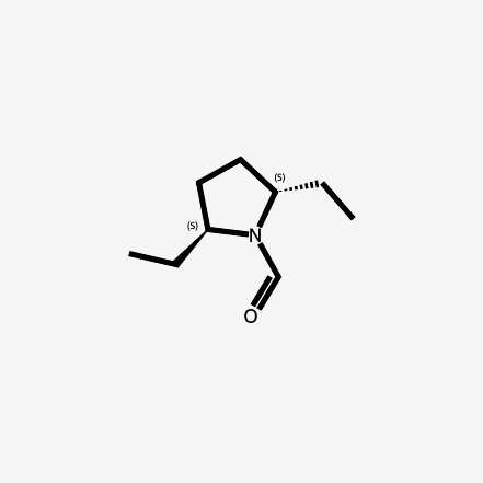 CC[C@H]1CC[C@H](CC)N1C=O